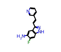 Nc1cc2c(C=Cc3cccnc3)n[nH]c2cc1F